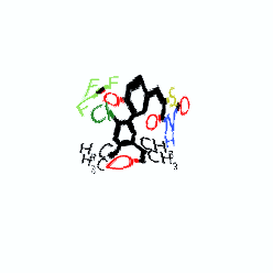 CC1(C)COC(C)(C)c2cc(Cl)c(-c3cc(C=C4SC(=O)NC4=O)ccc3OC(F)(F)F)cc21